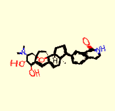 CN(C)[C@H]1C[C@@]23CC[C@@]4(O2)C(=CC[C@]2(C)C(c5ccc6cc[nH]c(=O)c6c5)=CC[C@H]24)C=C3[C@@H](O)[C@@H]1O